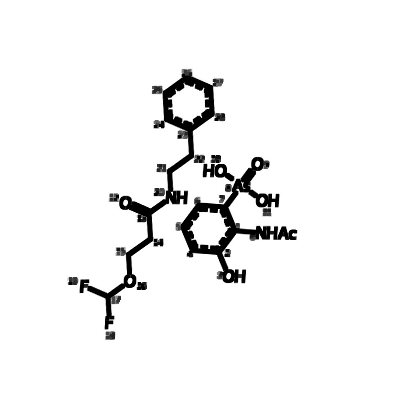 CC(=O)Nc1c(O)cccc1[As](=O)(O)O.O=C(CCOC(F)F)NCCc1ccccc1